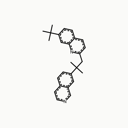 CC(C)(C)c1ccc2ccc(CC(C)(C)c3ccc4ccncc4c3)nc2c1